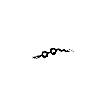 C#Cc1ccc(-c2ccc(CCCC=C)cc2)cc1